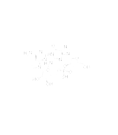 Nc1nc2c(ncn2[C@@H]2OC(CO)C[C@H]2OP(=O)(S)OC[C@H]2O[C@@H](n3ccc4c(N)ncnc43)[C@H](O)[C@@H]2O)c(=O)[nH]1